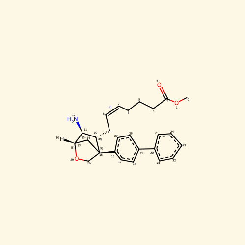 COC(=O)CCC/C=C\C[C@H]1[C@H](N)[C@@H]2C[C@@]1(c1ccc(-c3ccccc3)cc1)CO2